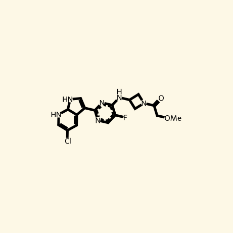 COCC(=O)N1CC(Nc2nc(C3=CNC4NC=C(Cl)C=C34)ncc2F)C1